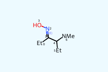 CC/C(=N\O)C(CC)NC